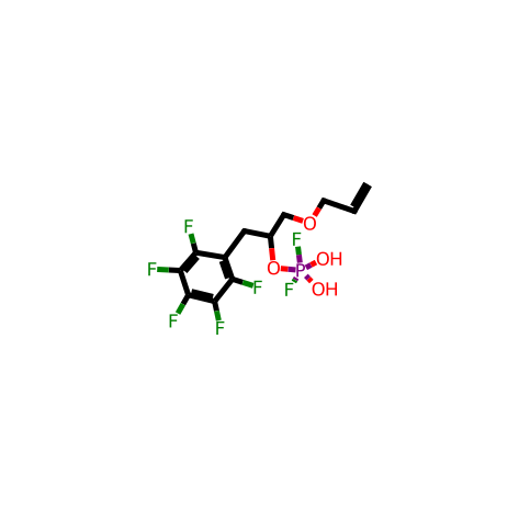 C=CCOCC(Cc1c(F)c(F)c(F)c(F)c1F)OP(O)(O)(F)F